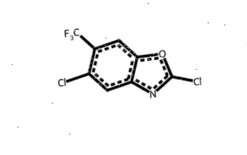 FC(F)(F)c1cc2oc(Cl)nc2cc1Cl